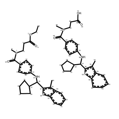 CCOC(=O)CCN(C)C(=O)c1ccc(NC(c2sc3ccccc3c2C)C2CCCC2)cc1.Cc1c(C(Nc2ccc(C(=O)N(C)CCC(=O)O)cc2)C2CCCC2)sc2ccccc12